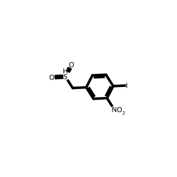 O=[N+]([O-])c1cc(C[SH](=O)=O)ccc1I